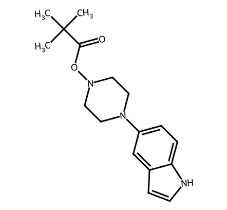 CC(C)(C)C(=O)ON1CCN(c2ccc3[nH]ccc3c2)CC1